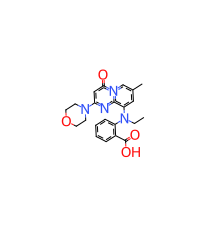 CCN(c1ccccc1C(=O)O)c1cc(C)cn2c(=O)cc(N3CCOCC3)nc12